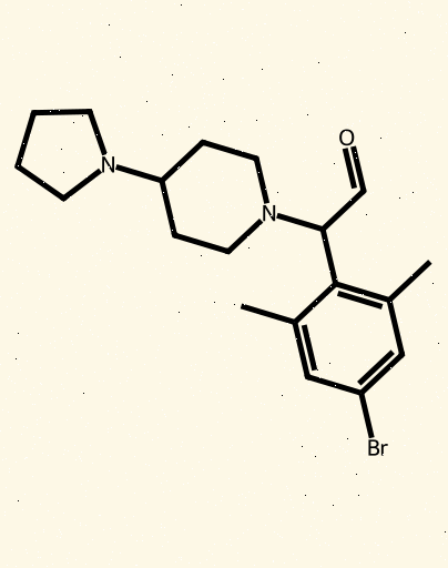 Cc1cc(Br)cc(C)c1C(C=O)N1CCC(N2CCCC2)CC1